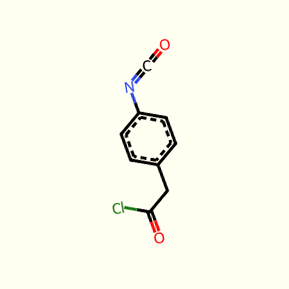 O=C=Nc1ccc(CC(=O)Cl)cc1